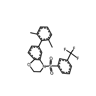 Cc1cccc(C)c1-c1ccc2c(c1)N(S(=O)(=O)c1cccc(C(F)(F)F)c1)CCO2